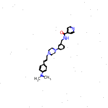 CN(C)c1ccc(/C=C/CN2CCN(c3cccc(CNC(=O)c4ccncc4)c3)CC2)cc1